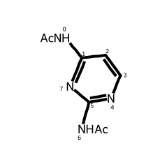 CC(=O)Nc1ccnc(NC(C)=O)n1